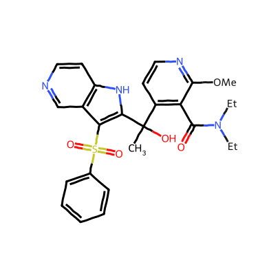 CCN(CC)C(=O)c1c(C(C)(O)c2[nH]c3ccncc3c2S(=O)(=O)c2ccccc2)ccnc1OC